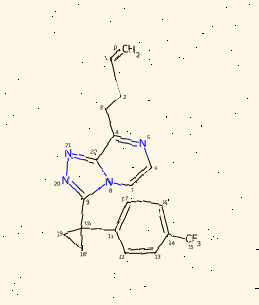 C=CCCc1nccn2c(C3(c4ccc(C(F)(F)F)cc4)CC3)nnc12